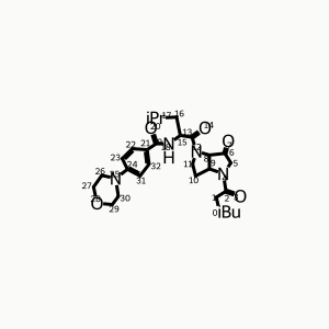 CCC(C)CC(=O)N1CC(=O)C2C1CCN2C(=O)C(CC(C)C)NC(=O)c1ccc(N2CCOCC2)cc1